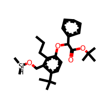 CCCc1c(OC(C(=O)OC(C)(C)C)c2ccccc2)ccc(C(C)(C)C)c1CO[SiH](C)C